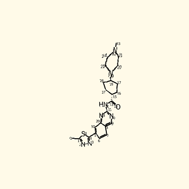 Cc1nnc(-c2ccc3cnc(NC(=O)[C@H]4CC[C@H](N5CCN(C)CC5)CC4)nc3c2)s1